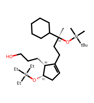 CC[Si](CC)(CC)O[C@H]1CC=C(CC[C@](C)(O[Si](C)(C)C(C)(C)C)C2CCCCC2)[C@H]1CCCO